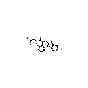 O=C(O)CC1Sc2ccccc2N(Cc2nc3ccc(F)cc3s2)C1=O